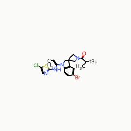 CC=C(Nc1ncc(Cl)s1)N1CC2(CCN(C(=O)C(C)C(C)(C)C)C2)c2cc(Br)ccc21